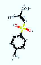 CCC/C(=C\S(=O)(=O)c1ccc(C)cc1)C(=O)O